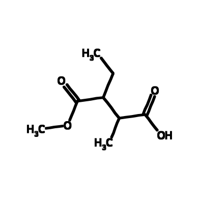 CCC(C(=O)OC)C(C)C(=O)O